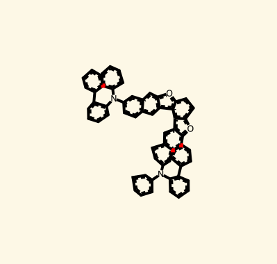 c1ccc(-c2ccccc2N(c2ccccc2)c2ccc3cc4c(cc3c2)oc2ccc3oc5cc6cc(N(c7ccccc7)c7ccccc7-c7ccccc7)ccc6cc5c3c24)cc1